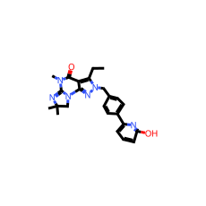 CCc1c2c(nn1Cc1ccc(-c3cccc(O)n3)cc1)N1CC(C)(C)N=C1N(C)C2=O